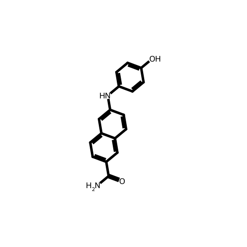 NC(=O)c1ccc2cc(Nc3ccc(O)cc3)ccc2c1